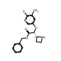 Cc1cc(OC(C(=O)OCc2ccccc2)[C@H]2CCN2)cnc1F